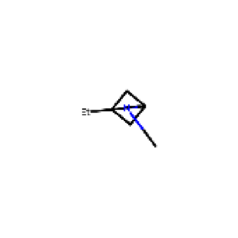 CCC12CC(C1)N(C)C2